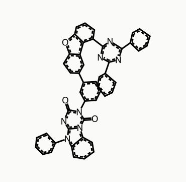 O=c1nc2n(-c3ccccc3)c3ccccc3n2c(=O)n1-c1cccc(-c2ccc3oc4cccc(-c5nc(-c6ccccc6)nc(-c6ccccc6)n5)c4c3c2)c1